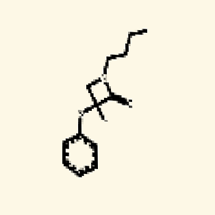 CCCCN1CC(F)(Sc2ccccc2)C1=O